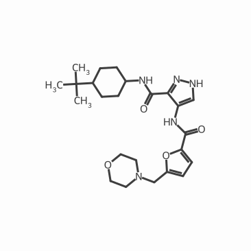 CC(C)(C)C1CCC(NC(=O)c2n[nH]cc2NC(=O)c2ccc(CN3CCOCC3)o2)CC1